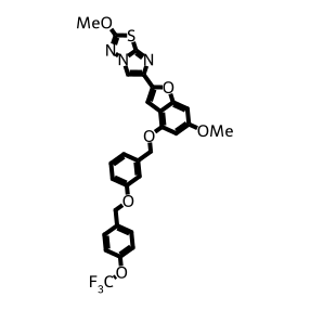 COc1cc(OCc2cccc(OCc3ccc(OC(F)(F)F)cc3)c2)c2cc(-c3cn4nc(OC)sc4n3)oc2c1